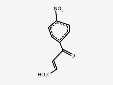 O=C(O)C=CC(=O)c1ccc([N+](=O)[O-])cc1